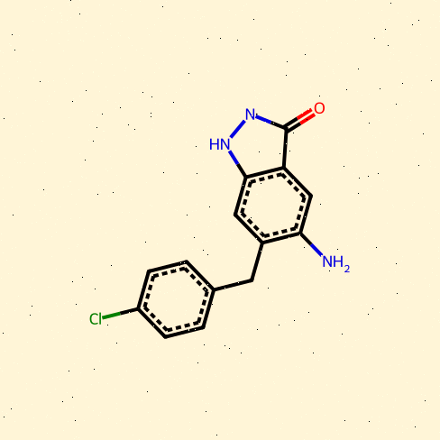 Nc1cc2c(cc1Cc1ccc(Cl)cc1)N[N]C2=O